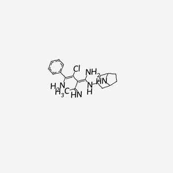 CC(=N)C(=C(/N)NC1CC2CCC(C1)N2)/C(Cl)=C(\N)c1ccccc1